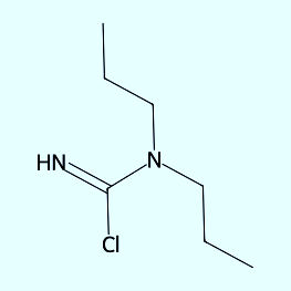 CCCN(CCC)C(=N)Cl